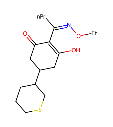 CCC/C(=N/OCC)C1=C(O)CC(C2CCCSC2)CC1=O